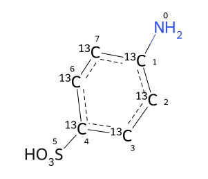 N[13c]1[13cH][13cH][13c](S(=O)(=O)O)[13cH][13cH]1